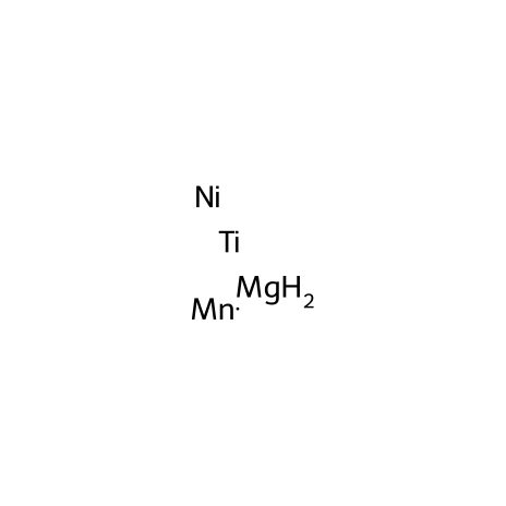 [MgH2].[Mn].[Ni].[Ti]